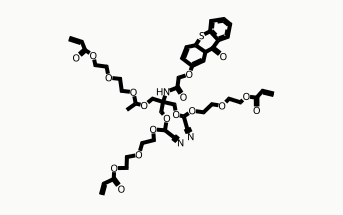 C=CC(=O)OCCOCCOC(C)OCC(COC(C#N)OCCOCCOC(=O)C=C)(COC(C#N)OCCOCCOC(=O)C=C)NC(=O)COC1=CC2C(=O)c3ccccc3SC2C=C1